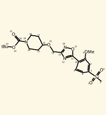 COc1cc(S(C)(=O)=O)ccc1-c1nc(COC2CCN(C(=O)OC(C)(C)C)CC2)no1